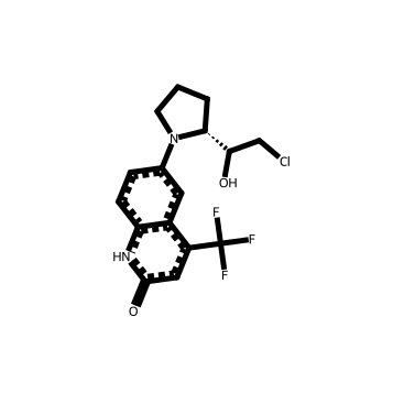 O=c1cc(C(F)(F)F)c2cc(N3CCC[C@@H]3C(O)CCl)ccc2[nH]1